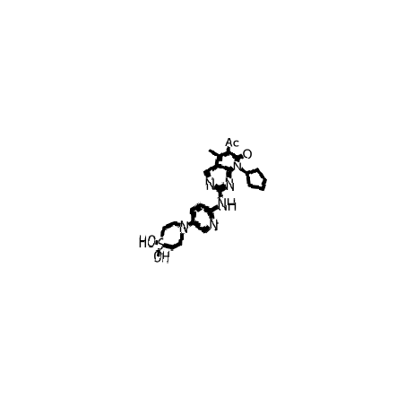 CC(=O)c1c(C)c2cnc(Nc3ccc(N4CCS(O)(O)CC4)cn3)nc2n(C2CCCC2)c1=O